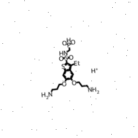 CCc1c(S(=O)(=O)NC[PH](=O)[O-])sc2cc(OCCCN)c(OCCCN)cc12.[H+]